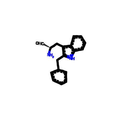 N[C@H](C=O)Cc1c(Cc2ccccc2)[nH]c2ccccc12